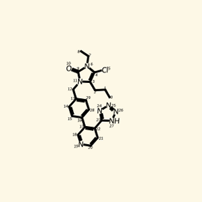 CCCc1c(Cl)n(CC)c(=O)n1Cc1ccc(-c2cnccc2-c2nnn[nH]2)cc1